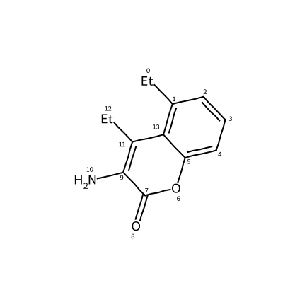 CCc1cccc2oc(=O)c(N)c(CC)c12